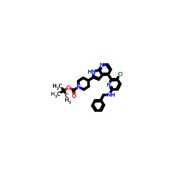 CC(C)(C)OC(=O)N1CCC(c2cc3c(-c4nc(NCc5ccccc5)ccc4Cl)ccnc3[nH]2)CC1